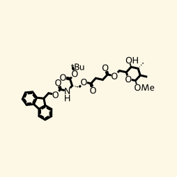 CO[C@H]1OC(COC(=O)CCC(=O)OC[C@H](NC(=O)OCC2c3ccccc3-c3ccccc32)C(=O)OC(C)(C)C)[C@@H](O)[C@H](C)C1C